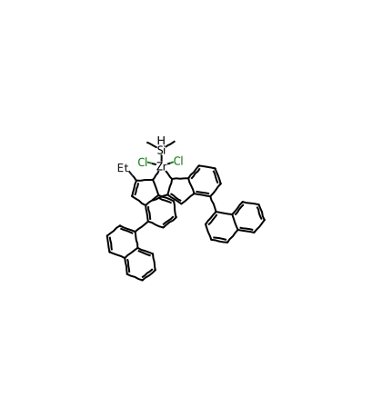 CCC1=Cc2c(-c3cccc4ccccc34)cccc2[CH]1[Zr]([Cl])([Cl])([CH]1C(C)=Cc2c(-c3cccc4ccccc34)cccc21)[SiH](C)C